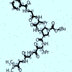 CCC[C@H](NC(=O)[C@@H]1CN(C(=O)OC(C)(C)C)C[C@@H]1NC(=O)C(NC(=O)CNC(=O)c1cnccn1)C(C)C)C(=O)C(=O)NCC(=O)NCC(=O)N(C)C